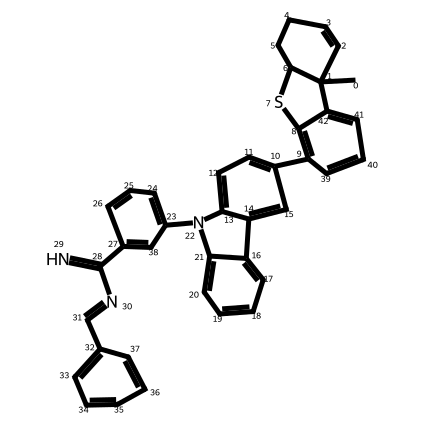 CC12C=CCCC1Sc1c(-c3ccc4c(c3)c3ccccc3n4-c3cccc(C(=N)/N=C/c4ccccc4)c3)cccc12